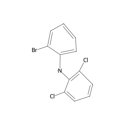 Clc1cccc(Cl)c1[N]c1ccccc1Br